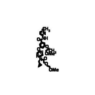 COCCOCC(=O)N(CC1CC1)c1cnc(Oc2cc(O[C@@H](C)COC)cc(C(=O)Nc3ccn(C)n3)c2)cn1